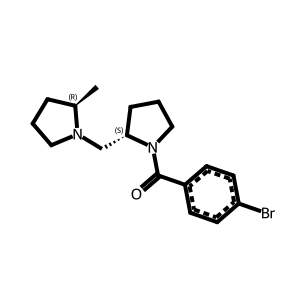 C[C@@H]1CCCN1C[C@@H]1CCCN1C(=O)c1ccc(Br)cc1